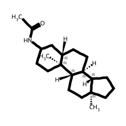 CC(=O)NC1CC[C@@]2(C)[C@@H](CC[C@H]3[C@@H]4CCC[C@@]4(C)CC[C@@H]32)C1